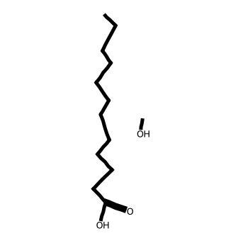 CCCCCCCCCCCC(=O)O.CO